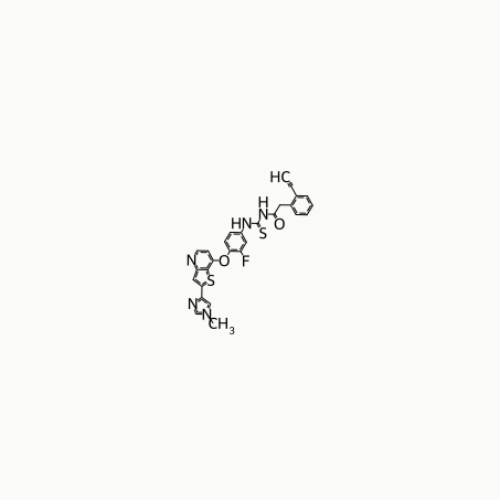 C#Cc1ccccc1CC(=O)NC(=S)Nc1ccc(Oc2ccnc3cc(-c4cn(C)cn4)sc23)c(F)c1